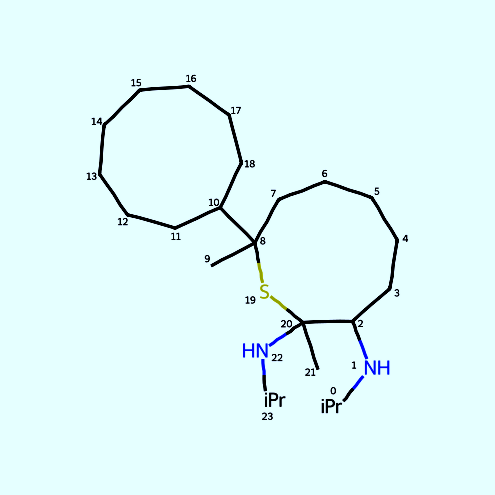 CC(C)NC1CCCCCC(C)(C2CCCCCCCC2)SC1(C)NC(C)C